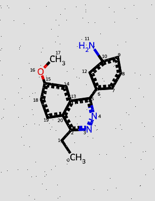 CCc1nnc(-c2cccc(N)c2)c2cc(OC)ccc12